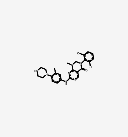 Cc1cc(Nc2ncc3c(n2)N(C)CN(c2c(Cl)cccc2Cl)C3=O)ccc1N1CCNCC1